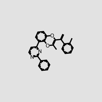 C=C(C1=C(C)Oc2c(cccc2-c2ccnc(-c3ccccc3)n2)O1)c1ccccc1C